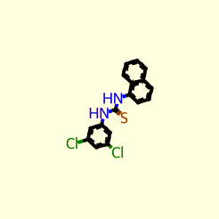 S=C(Nc1cc(Cl)cc(Cl)c1)Nc1cccc2ccccc12